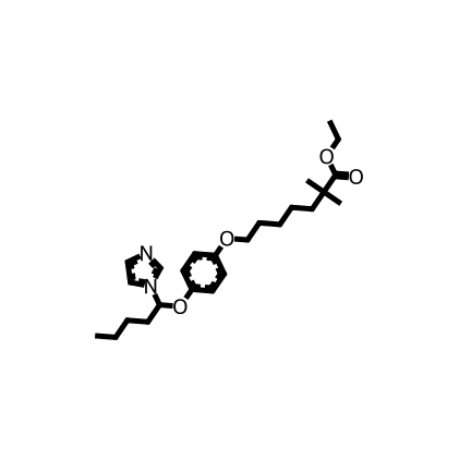 CCCCC(Oc1ccc(OCCCCCC(C)(C)C(=O)OCC)cc1)n1ccnc1